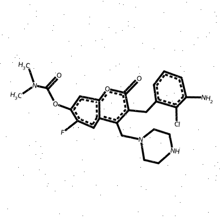 CN(C)C(=O)Oc1cc2oc(=O)c(Cc3cccc(N)c3Cl)c(CN3CCNCC3)c2cc1F